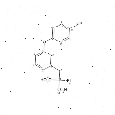 CCC(Cc1cccc(Oc2ccc(F)cc2)c1)(C(=O)O)C(=O)O